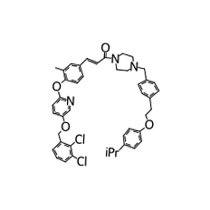 Cc1cc(/C=C/C(=O)N2CCN(Cc3ccc(CCOc4ccc(C(C)C)cc4)cc3)CC2)ccc1Oc1ccc(OCc2cccc(Cl)c2Cl)cn1